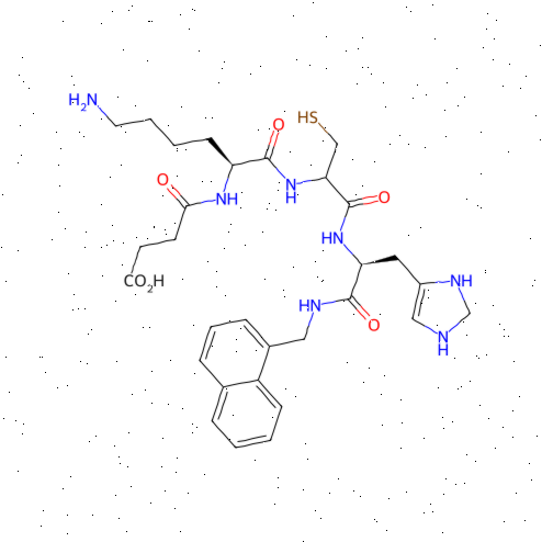 NCCCC[C@H](NC(=O)CCC(=O)O)C(=O)NC(CS)C(=O)N[C@@H](CC1=CNCN1)C(=O)NCc1cccc2ccccc12